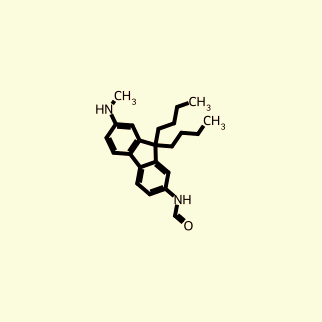 CCCCC1(CCCC)c2cc(NC)ccc2-c2ccc(NC=O)cc21